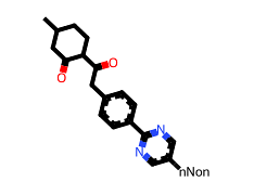 CCCCCCCCCc1cnc(-c2ccc(CC(=O)C3CCC(C)CC3=O)cc2)nc1